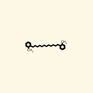 Cc1ccccc1CCCCCCCCCCCCc1ccccc1C